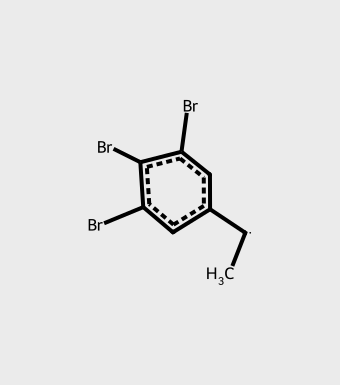 C[CH]c1cc(Br)c(Br)c(Br)c1